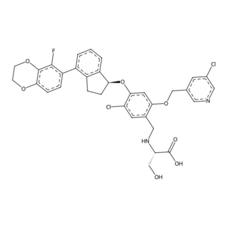 O=C(O)[C@H](CO)NCc1cc(Cl)c(O[C@H]2CCc3c(-c4ccc5c(c4F)OCCO5)cccc32)cc1OCc1cncc(Cl)c1